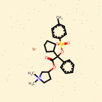 Cc1ccc(S(=O)(=O)OC(C(=O)OC2CC[N+](C)(C)C2)(c2ccccc2)C2CCCC2)cc1.[Br-]